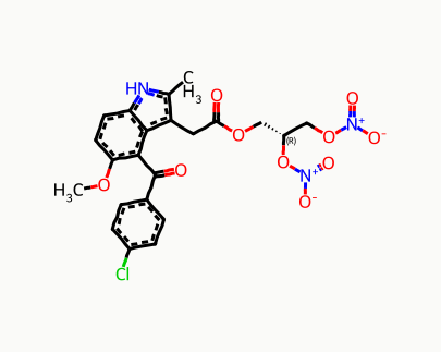 COc1ccc2[nH]c(C)c(CC(=O)OC[C@H](CO[N+](=O)[O-])O[N+](=O)[O-])c2c1C(=O)c1ccc(Cl)cc1